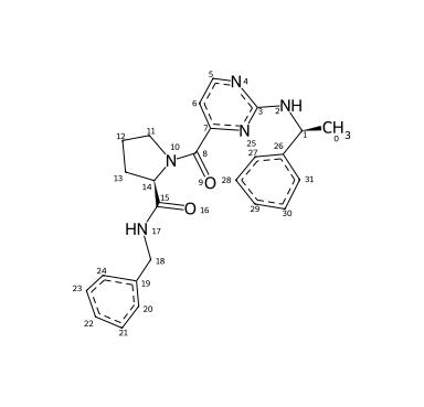 C[C@H](Nc1nccc(C(=O)N2CCC[C@@H]2C(=O)NCc2ccccc2)n1)c1ccccc1